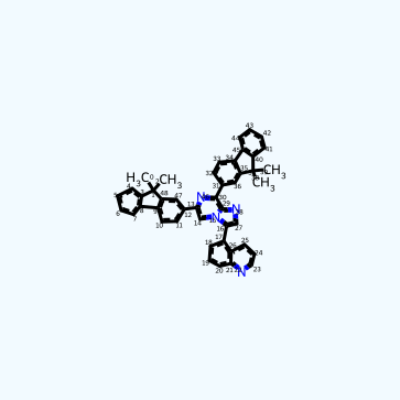 CC1(C)c2ccccc2-c2ccc(-c3cn4c(-c5cccc6ncccc56)cnc4c(-c4ccc5c(c4)C(C)(C)c4ccccc4-5)n3)cc21